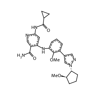 COc1c(Nc2cc(NC(=O)C3CC3)ncc2C(N)=O)cccc1-c1cnn([C@@H]2CCC[C@H]2OC)c1